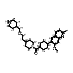 COc1cc2nc(C)ccc2cc1C1CCC(C(=O)N2CCC(CCOCC3CCNCC3)CC2)CC1